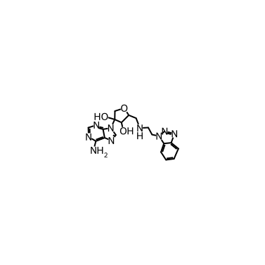 Nc1ncnc2c1ncn2C1(O)COC(CNCCn2nnc3ccccc32)C1O